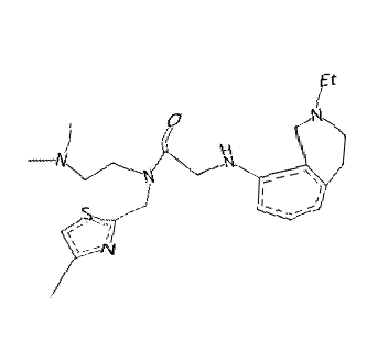 CCN1CCc2cccc(NCC(=O)N(CCN(C)C)Cc3nc(C)cs3)c2C1